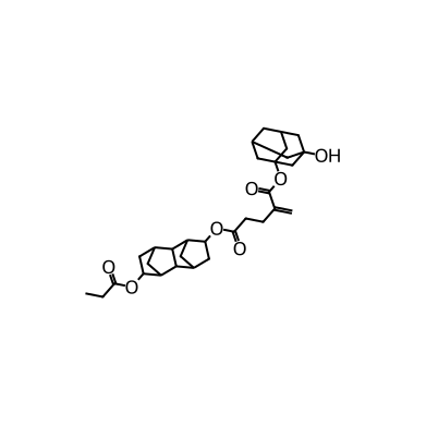 C=C(CCC(=O)OC1CC2CC1C1C3CC(OC(=O)CC)C(C3)C21)C(=O)OC12CC3CC(CC(O)(C3)C1)C2